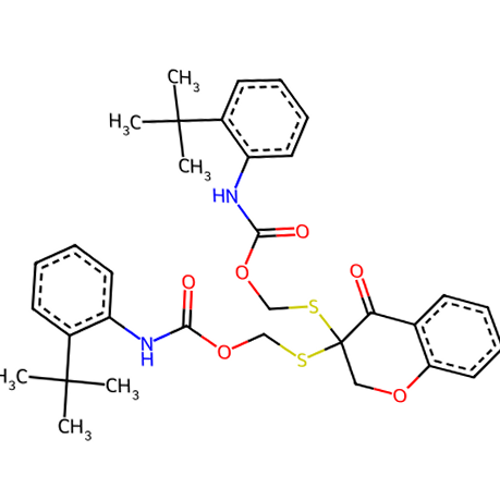 CC(C)(C)c1ccccc1NC(=O)OCSC1(SCOC(=O)Nc2ccccc2C(C)(C)C)COc2ccccc2C1=O